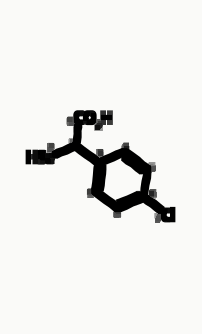 O=C(O)C([SeH])c1ccc(Cl)cc1